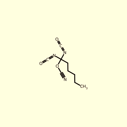 CCCCCC(N=C=O)(N=C=O)OC#N